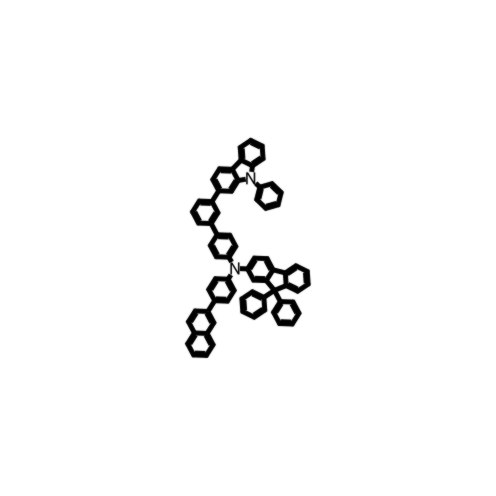 c1ccc(-n2c3ccccc3c3ccc(-c4cccc(-c5ccc(N(c6ccc(-c7ccc8ccccc8c7)cc6)c6ccc7c(c6)C(c6ccccc6)(c6ccccc6)c6ccccc6-7)cc5)c4)cc32)cc1